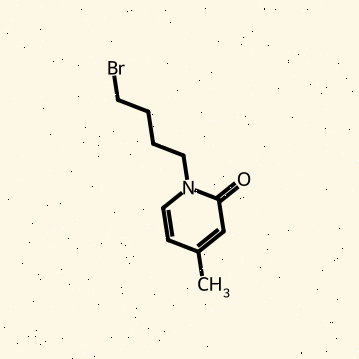 Cc1ccn(CCCCBr)c(=O)c1